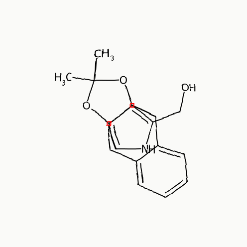 CC1(C)OC2C3c4ccccc4C(c4c3c[nH]c4CO)C2O1